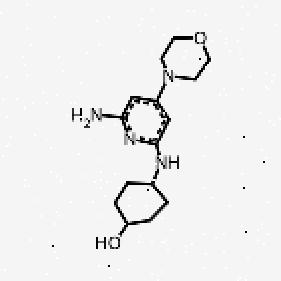 Nc1cc(N2CCOCC2)cc(NC2CCC(O)CC2)n1